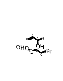 C=CC(C)O.CC(C)CCOC=O